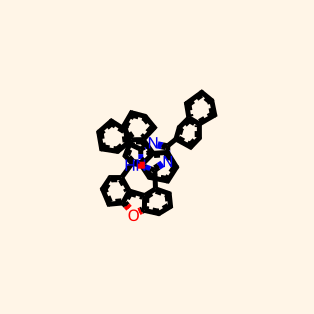 c1ccc(C2N=C(c3ccc4ccccc4c3)N=C(c3cccc4oc5cccc(-c6cc7ccccc7c7ccccc67)c5c34)N2)cc1